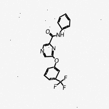 O=C(Nc1ccccc1)c1cncc(Oc2cccc(C(F)(F)F)c2)n1